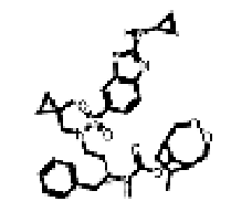 CC1CC2COOCC1C2OC(=O)N[C@H](CCN(CC1(C)CC1)S(=O)(=O)c1ccc2nc(NC3CC3)sc2c1)Cc1ccccc1